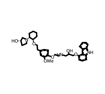 COc1cc(CCO[C@@H]2CCCC[C@H]2N2CC[C@H](O)C2)ccc1OCCNCC(O)COc1cccc2[nH]c3ccccc3c12